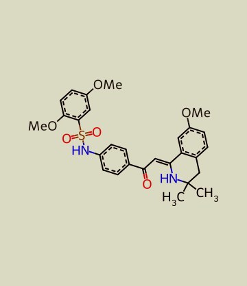 COc1ccc2c(c1)C(=CC(=O)c1ccc(NS(=O)(=O)c3cc(OC)ccc3OC)cc1)NC(C)(C)C2